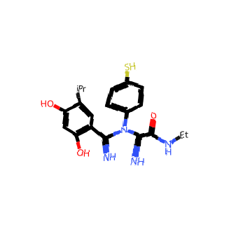 CCNC(=O)C(=N)N(C(=N)c1cc(C(C)C)c(O)cc1O)c1ccc(S)cc1